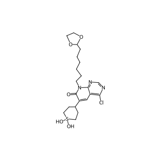 O=c1c(C2CCS(O)(O)CC2)cc2c(Cl)ncnc2n1CCCCCCC1OCCO1